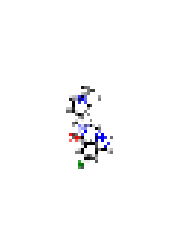 CN1CCC(CN2CCN3N=CC4C=C(F)C=C(C2=O)C43)CC1